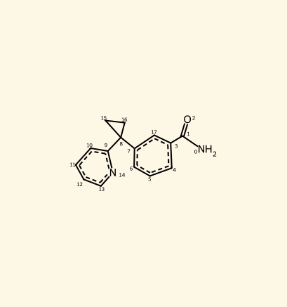 NC(=O)c1cccc(C2(c3ccccn3)CC2)c1